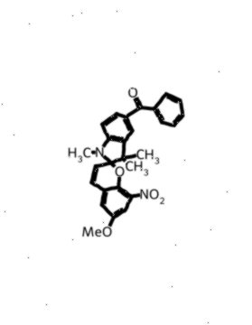 COc1cc2c(c([N+](=O)[O-])c1)OC1(C=C2)N(C)c2ccc(C(=O)c3ccccc3)cc2C1(C)C